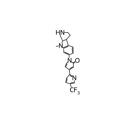 CN1c2cc(-n3ccc(-c4ccc(C(F)(F)F)cn4)cc3=O)ccc2C2CCNCC21